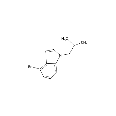 CC(C)Cn1ccc2c(Br)cccc21